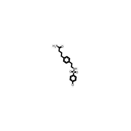 NC(=O)CCCc1ccc(CCNS(=O)(=O)c2ccc(Cl)cc2)cc1